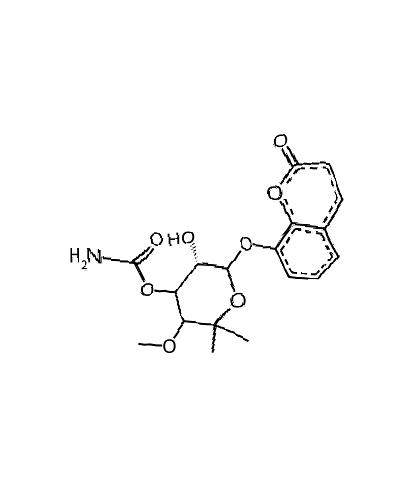 COC1C(OC(N)=O)[C@H](O)C(Oc2cccc3ccc(=O)oc23)OC1(C)C